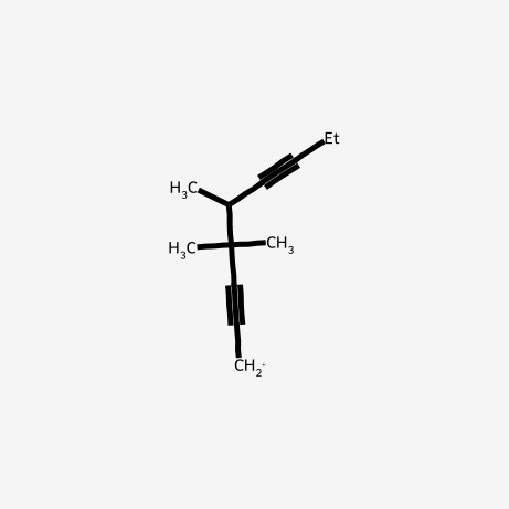 [CH2]C#CC(C)(C)C(C)C#CCC